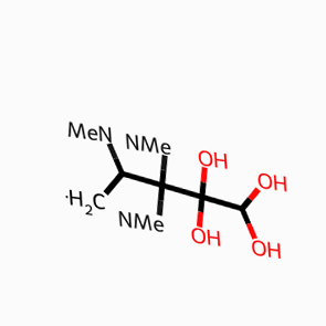 [CH2]C(NC)C(NC)(NC)C(O)(O)[C](O)O